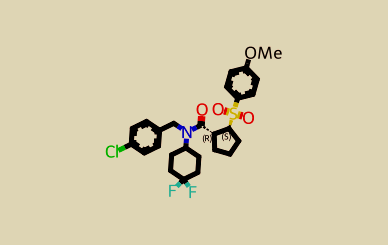 COc1ccc(S(=O)(=O)[C@H]2CCC[C@@H]2C(=O)N(Cc2ccc(Cl)cc2)C2CCC(F)(F)CC2)cc1